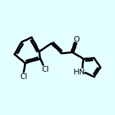 O=C(C=Cc1cccc(Cl)c1Cl)c1ccc[nH]1